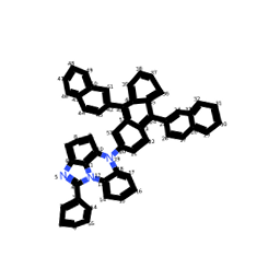 c1ccc(-c2nc3cccc4c3n2-c2ccccc2N4c2ccc3c(-c4ccc5ccccc5c4)c4ccccc4c(-c4ccc5ccccc5c4)c3c2)cc1